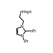 CCCCCCCCCN1C=CN(C(C)C)C1CCC